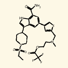 CCS(=O)(=O)N1CCC(c2c[nH]c3c(C(N)=O)cc(-c4csc(CN(C)CCOC(=O)C(F)(F)F)c4)cc23)CC1